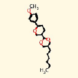 CCCCCCC1COC(C2CCC(c3ccc(OC)cc3)OC2)OC1